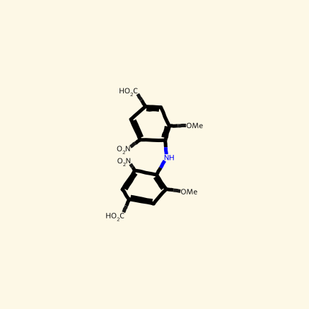 COc1cc(C(=O)O)cc([N+](=O)[O-])c1Nc1c(OC)cc(C(=O)O)cc1[N+](=O)[O-]